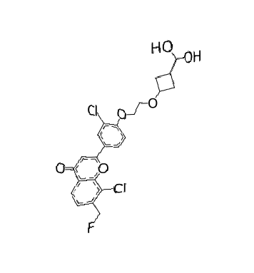 O=c1cc(-c2ccc(OCCOC3CC(C(O)O)C3)c(Cl)c2)oc2c(Cl)c(CF)ccc12